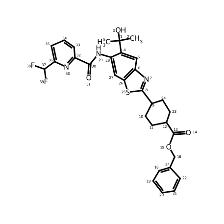 CC(C)(O)c1cc2nc(C3CCC(C(=O)OCc4ccccc4)CC3)sc2cc1NC(=O)c1cccc(C(F)F)n1